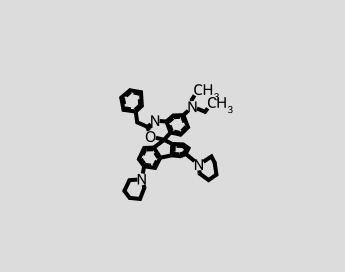 CCN(CC)c1ccc2c(c1)N=C(Cc1ccccc1)OC21c2ccc(N3CCCCC3)cc2-c2cc(N3CCCCC3)ccc21